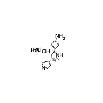 CC1(C)N[C@H](c2ccc(N)cc2)C[C@H]1c1ccncc1.Cl.Cl.Cl